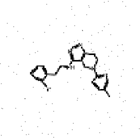 Cc1ccc(N2CCc3ncnc(NCCc4ccccc4Cl)c3C2)nc1